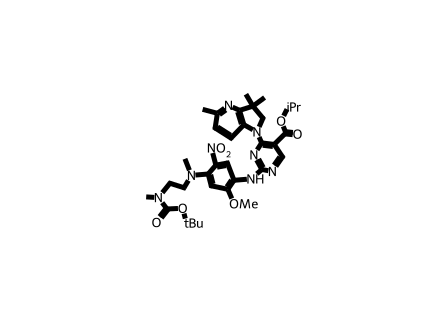 COc1cc(N(C)CCN(C)C(=O)OC(C)(C)C)c([N+](=O)[O-])cc1Nc1ncc(C(=O)OC(C)C)c(N2CC(C)(C)c3nc(C)ccc32)n1